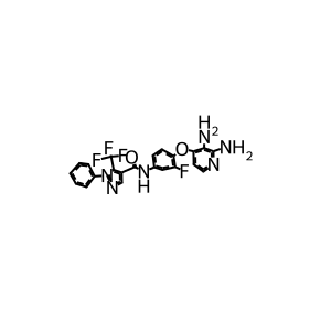 Nc1nccc(Oc2ccc(NC(=O)c3cnn(-c4ccccc4)c3C(F)(F)F)cc2F)c1N